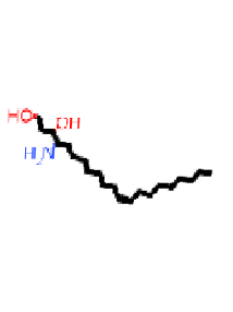 CCCCCCCC/C=C\CCCCCCCC(N)C(O)CCO